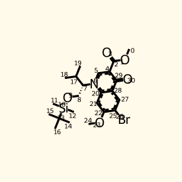 COC(=O)c1cn([C@H](CO[Si](C)(C)C(C)(C)C)C(C)C)c2cc(OC)c(Br)cc2c1=O